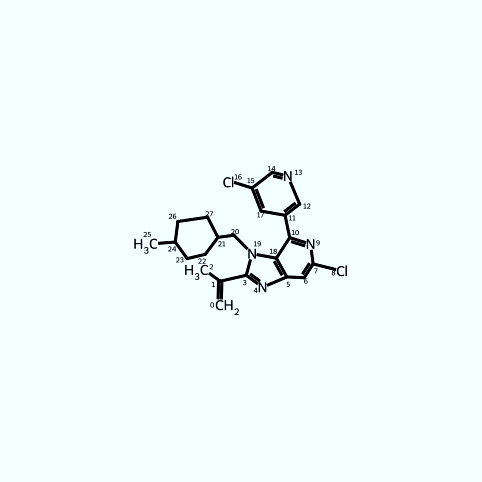 C=C(C)c1nc2cc(Cl)nc(-c3cncc(Cl)c3)c2n1CC1CCC(C)CC1